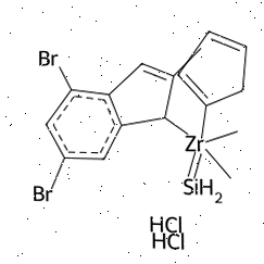 CC1=Cc2c(Br)cc(Br)cc2[CH]1[Zr]([CH3])([CH3])(=[SiH2])[C]1=CC=CC1.Cl.Cl